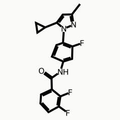 Cc1cc(C2CC2)n(-c2ccc(NC(=O)c3cccc(F)c3F)cc2F)n1